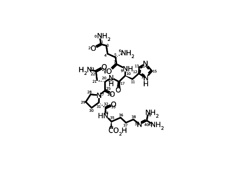 NC(=O)CC[C@H](N)C(=O)N[C@@H](Cc1cnc[nH]1)C(=O)N[C@@H](CC(N)=O)C(=O)N1CCC[C@H]1C(=O)N[C@@H](CCCN=C(N)N)C(=O)O